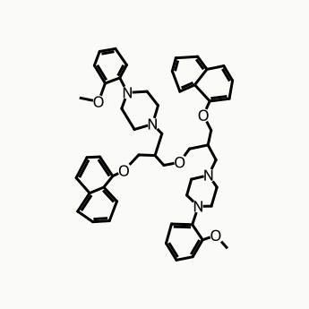 COc1ccccc1N1CCN(CC(COCC(COc2cccc3ccccc23)CN2CCN(c3ccccc3OC)CC2)COc2cccc3ccccc23)CC1